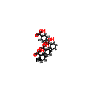 O=C(O)C1=CC[CH]C=C1.O=C(O)c1cc[c]cc1.O=C(O)c1cc[c]cc1.O=C(O)c1cc[c]cc1.[Pd]